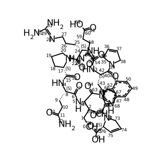 CC[C@H](C)[C@H](NC(=O)[C@H](CCC(N)=O)NC(=O)[C@@H]1CCCN1C(=O)[C@H](CCCN=C(N)N)NC(=O)[C@@H]1C=CCN1C(=O)[C@H](Cc1c[nH]c2ccccc12)NC(=O)[C@@H](N)CCC(=O)O)C(=O)N1CCC[C@H]1C(=O)N1CC=C[C@H]1C(=O)O